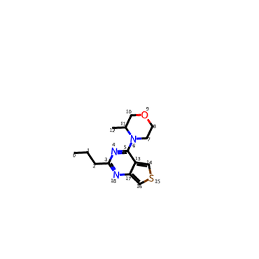 CCCc1nc(N2CCOCC2C)c2cscc2n1